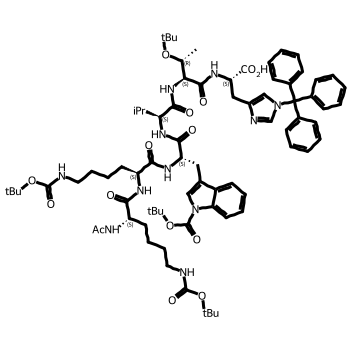 CC(=O)N[C@@H](CCCCNC(=O)OC(C)(C)C)C(=O)N[C@@H](CCCCNC(=O)OC(C)(C)C)C(=O)N[C@@H](Cc1cn(C(=O)OC(C)(C)C)c2ccccc12)C(=O)N[C@H](C(=O)N[C@H](C(=O)N[C@@H](Cc1cn(C(c2ccccc2)(c2ccccc2)c2ccccc2)cn1)C(=O)O)[C@@H](C)OC(C)(C)C)C(C)C